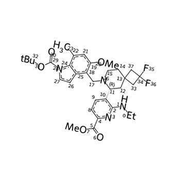 CCNc1nc(C(=O)OC)ccc1[C@H]1CC2(CCN1Cc1c(OC)cc(C)c3c1ccn3C(=O)OC(C)(C)C)CC(F)(F)C2